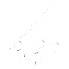 CCCCCCCCCCCCCC(=O)N[C@H](CO)C(=O)N[C@H](C)C(=O)NCC(=O)N(C)[C@H](C(=O)N[C@@H](C)C(=O)N[C@@H](CC(C)C)C(=O)O)C(C)O